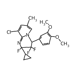 COc1ccc(C2N3C=C(C)C=C(Cl)C3=NC(F)(C3CC3)C2(F)F)cc1OC